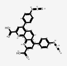 O=C(O)c1cc(-c2ccc(N=C=S)cc2)c2ccc3c(-c4ccc(N=C=S)cc4)cc(C(=O)O)nc3c2n1